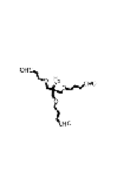 NC(COCCC=O)(COCCCC=O)COCCCC=O